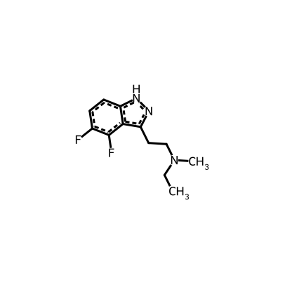 CCN(C)CCc1n[nH]c2ccc(F)c(F)c12